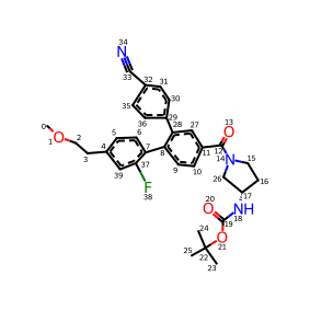 COCCc1ccc(-c2ccc(C(=O)N3CC[C@H](NC(=O)OC(C)(C)C)C3)cc2-c2ccc(C#N)cc2)c(F)c1